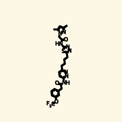 Cc1cc(C)n(CC(=O)Nc2nnc(CCCCc3ccc(NC(=O)Cc4cccc(OC(F)(F)F)c4)nn3)s2)n1